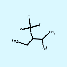 NC(O)C(CO)C(F)(F)F